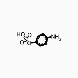 Nc1ccc(OS(=O)(=O)O)cc1